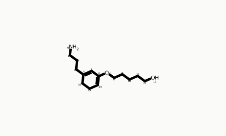 NCCCC1=CC(OCCCCCO)=CCC1